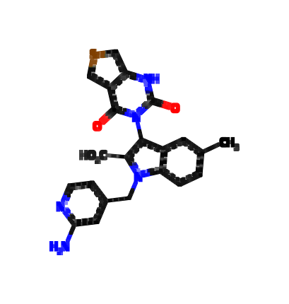 Cc1ccc2c(c1)c(-n1c(=O)[nH]c3cscc3c1=O)c(C(=O)O)n2Cc1ccnc(N)c1